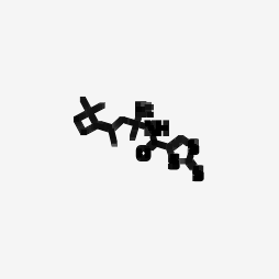 CCC(C)(C/C(C)=C1/CCC1(C)C)NC(=O)c1csc(=S)s1